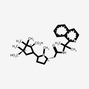 CN1C(C2C[C@@](C)(C(=O)O)C(C)(C)[C@H]2C(=O)O)CC[C@H]1CC(=O)NC(C)(C)c1nccc2ccccc12